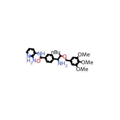 CCCCC(OCc1cc(OC)c(OC)c(OC)c1)C(N)c1ccc(C(=O)Nc2cccnc2N)cc1